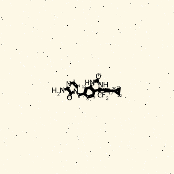 Nc1nccn(Cc2ccc3c(c2)NC(=O)NC3(C#CC2CC2)C(F)(F)F)c1=O